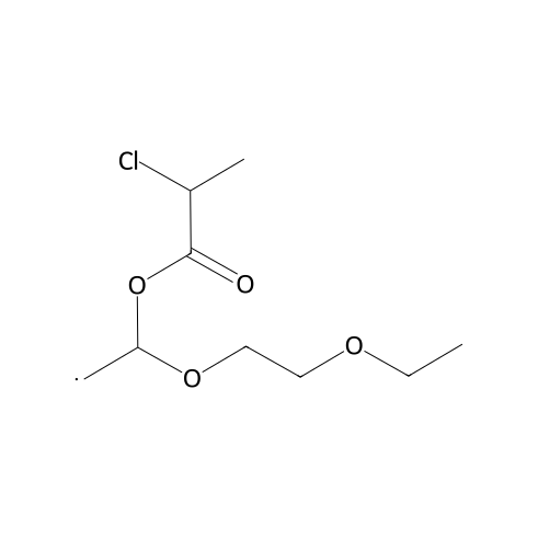 [CH2]C(OCCOCC)OC(=O)C(C)Cl